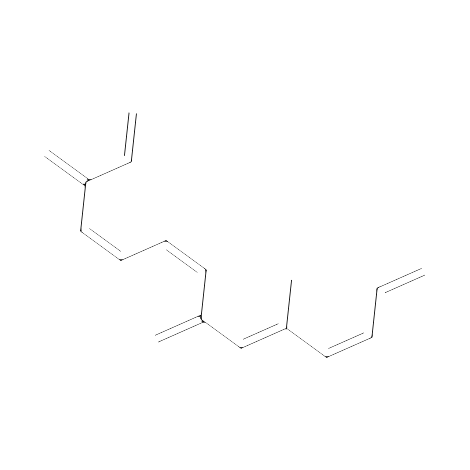 C=C/C=C\C(C)=C\C(=C)/C=C\C=C/C(=C)C=C